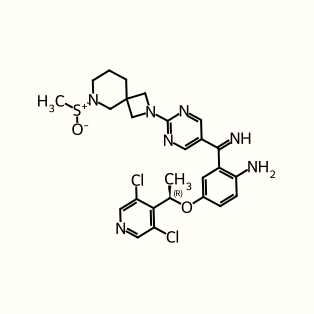 C[C@@H](Oc1ccc(N)c(C(=N)c2cnc(N3CC4(CCCN([S+](C)[O-])C4)C3)nc2)c1)c1c(Cl)cncc1Cl